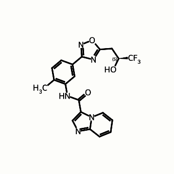 Cc1ccc(-c2noc(C[C@H](O)C(F)(F)F)n2)cc1NC(=O)c1cnc2ccccn12